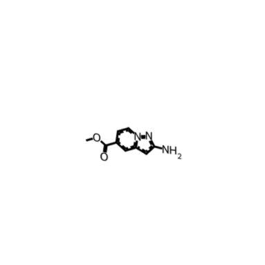 COC(=O)c1ccn2nc(N)cc2c1